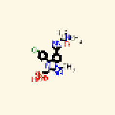 Cc1nnc2n1-c1ccc(-c3cnn(CC(=O)N(C)C)c3)cc1C(c1ccc(Cl)cc1)=N[C@@H]2CCS(=O)(=O)O